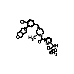 C[C@@H]1CN(Cc2ccc(Cl)c(N3CC4COCC4C3)c2)CCN1C(=O)n1ccc(NS(C)(=O)=O)n1